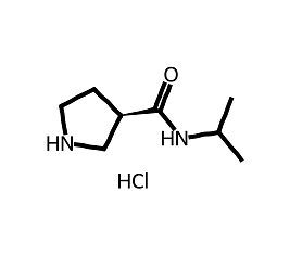 CC(C)NC(=O)[C@@H]1CCNC1.Cl